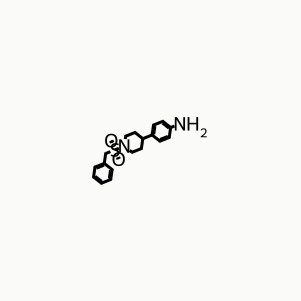 Nc1ccc(C2CCN(S(=O)(=O)Cc3ccccc3)CC2)cc1